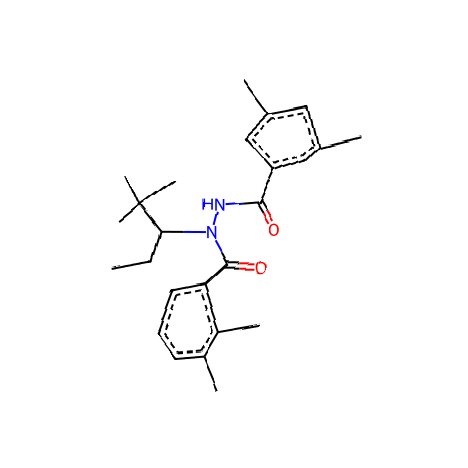 CCC(N(NC(=O)c1cc(C)cc(C)c1)C(=O)c1cccc(C)c1C)C(C)(C)C